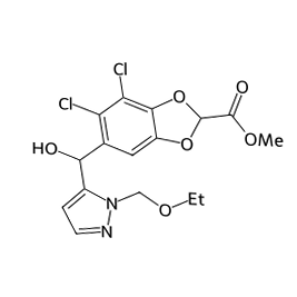 CCOCn1nccc1C(O)c1cc2c(c(Cl)c1Cl)OC(C(=O)OC)O2